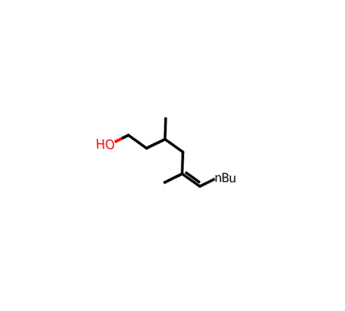 CCCCC=C(C)CC(C)CCO